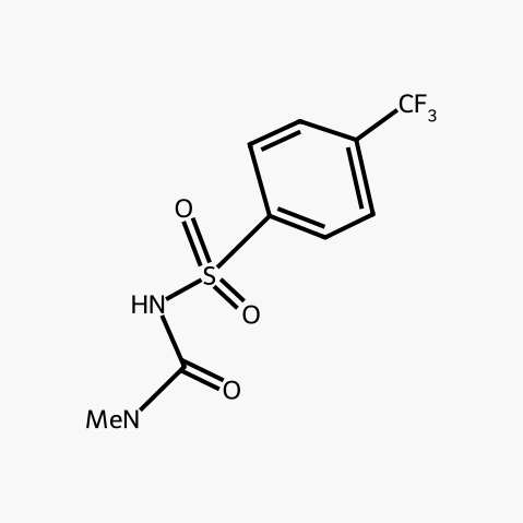 CNC(=O)NS(=O)(=O)c1ccc(C(F)(F)F)cc1